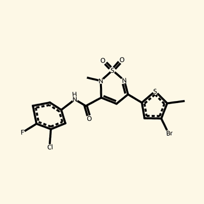 Cc1sc(C2=NS(=O)(=O)N(C)C(C(=O)Nc3ccc(F)c(Cl)c3)=C2)cc1Br